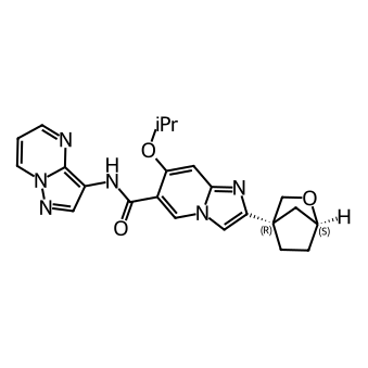 CC(C)Oc1cc2nc([C@@]34CC[C@@H](C3)OC4)cn2cc1C(=O)Nc1cnn2cccnc12